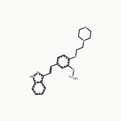 COc1cc(C=Cc2n[nH]c3ccccc23)ccc1OCCN1CCOCC1.Cl